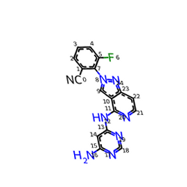 N#Cc1cccc(F)c1-n1cc2c(Nc3cc(N)ncn3)nccc2n1